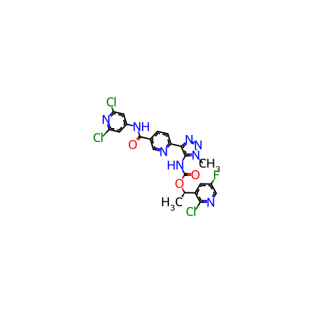 C[C@@H](OC(=O)Nc1c(-c2ccc(C(=O)Nc3cc(Cl)nc(Cl)c3)cn2)nnn1C)c1cc(F)cnc1Cl